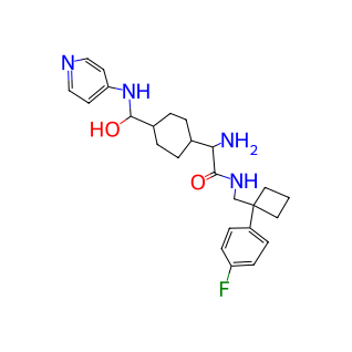 NC(C(=O)NCC1(c2ccc(F)cc2)CCC1)C1CCC(C(O)Nc2ccncc2)CC1